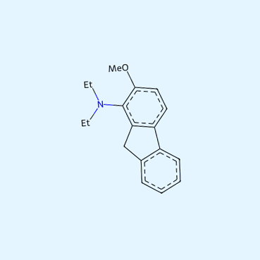 CCN(CC)c1c(OC)ccc2c1Cc1ccccc1-2